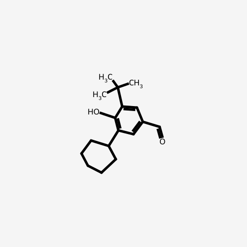 CC(C)(C)c1cc(C=O)cc(C2CCCCC2)c1O